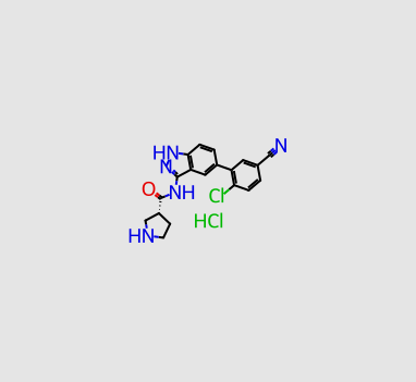 Cl.N#Cc1ccc(Cl)c(-c2ccc3[nH]nc(NC(=O)[C@@H]4CCNC4)c3c2)c1